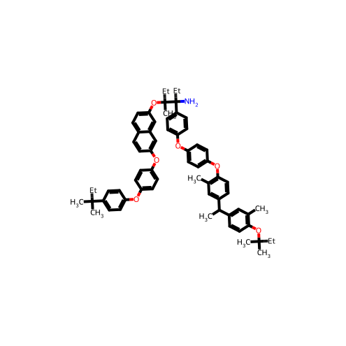 CCC(C)(C)Oc1ccc(C(C)c2ccc(Oc3ccc(Oc4ccc(C(N)(CC)C(C)(CC)Oc5ccc6ccc(Oc7ccc(Oc8ccc(C(C)(C)CC)cc8)cc7)cc6c5)cc4)cc3)c(C)c2)cc1C